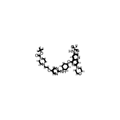 CC(C)(C)OC(=O)N1CCN(CCOc2cnc(NC3CCC(Oc4nc(N5CCOCC5)cc5ncc(NS(C)(=O)=O)cc45)CC3)nc2)CC1